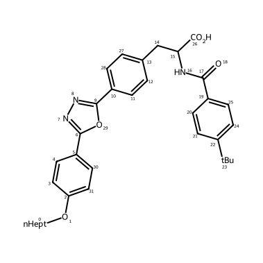 CCCCCCCOc1ccc(-c2nnc(-c3ccc(CC(NC(=O)c4ccc(C(C)(C)C)cc4)C(=O)O)cc3)o2)cc1